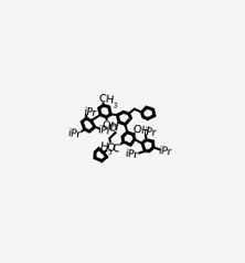 Cc1cc(-c2cc(Cc3ccccc3)cc(-c3cc(C)cc(-c4c(C(C)C)cc(C(C)C)cc4C(C)C)c3O)c2OCCOc2ccccc2)c(O)c(-c2c(C(C)C)cc(C(C)C)cc2C(C)C)c1